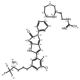 CC(=N)NCC[C@@H]1COCC[C@@H](c2ccc(-n3cc4cc(-c5cc(CCC[C@@H](N)C(F)(F)F)cc(Cl)c5F)[nH]c4nc3=O)cc2)N1